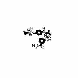 Cc1cnc(Nc2cccc(C(N)=O)c2)nc1Nc1ccc(CNS(=O)(=O)C2CC2)cc1